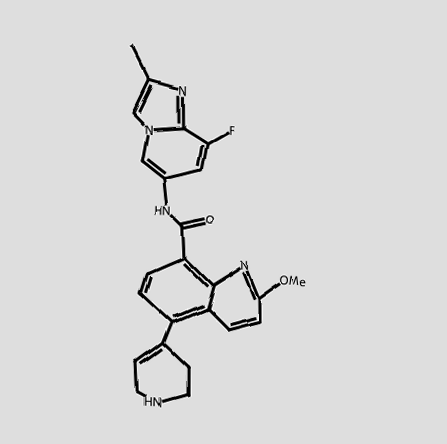 COc1ccc2c(C3=CCNCC3)ccc(C(=O)Nc3cc(F)c4nc(C)cn4c3)c2n1